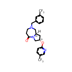 O=C1CCN(Cc2cccc(C(F)(F)F)c2)C[C@H]2C[C@H](Oc3ccc(C(F)(F)F)cn3)CN12